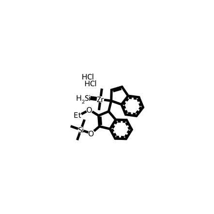 CCOC1=C(O[Si](C)(C)C)c2ccccc2C1[C]1([Zr]([CH3])([CH3])=[SiH2])C=Cc2ccccc21.Cl.Cl